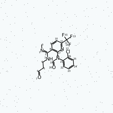 C/N=C(/NCCC=O)c1ccc(C(F)(F)F)nc1N(C=O)c1ccccc1Cl